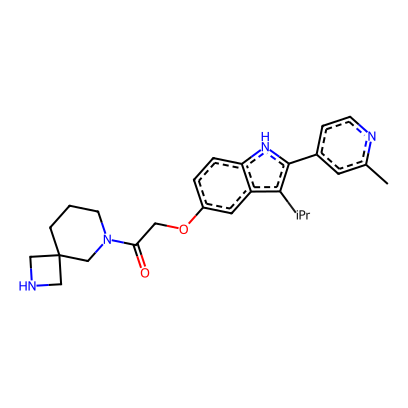 Cc1cc(-c2[nH]c3ccc(OCC(=O)N4CCCC5(CNC5)C4)cc3c2C(C)C)ccn1